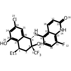 CC[C@@H]1C[C@](O)(C(F)(F)F)[C@@H](Nc2ccc(F)c3[nH]c(=O)ccc23)c2cc(Cl)cc(O)c21